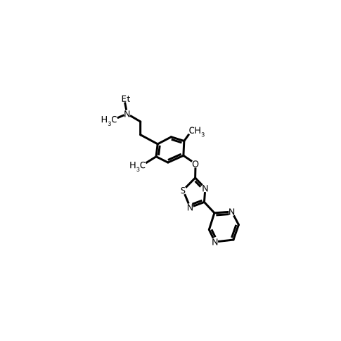 CCN(C)CCc1cc(C)c(Oc2nc(-c3cnccn3)ns2)cc1C